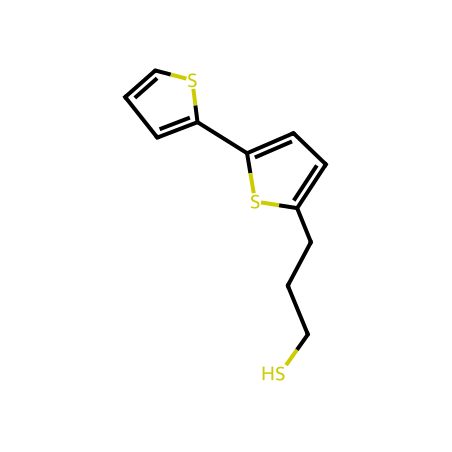 SCCCc1ccc(-c2cccs2)s1